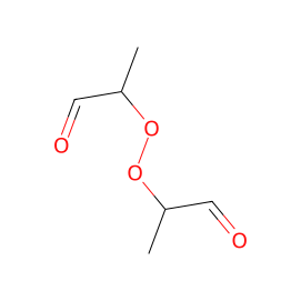 CC(C=O)OOC(C)C=O